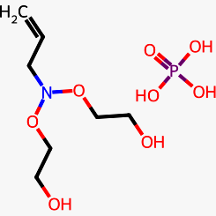 C=CCN(OCCO)OCCO.O=P(O)(O)O